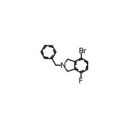 Fc1ccc(Br)c2c1CN(Cc1ccccc1)C2